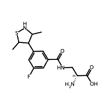 CC1NSC(C)C1c1cc(F)cc(C(=O)NC[C@@H](N)C(=O)O)c1